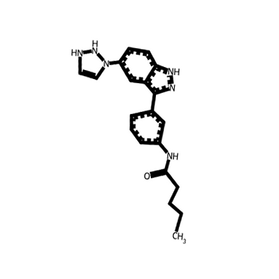 CCCCC(=O)Nc1cccc(-c2n[nH]c3ccc(N4C=CNN4)cc23)c1